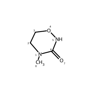 CN1CCONC1=O